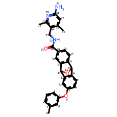 Cc1cccc(Oc2ccc3c(c2)C2OC3c3ccc(C(=O)NCc4c(C)cc(N)nc4C)cc32)c1